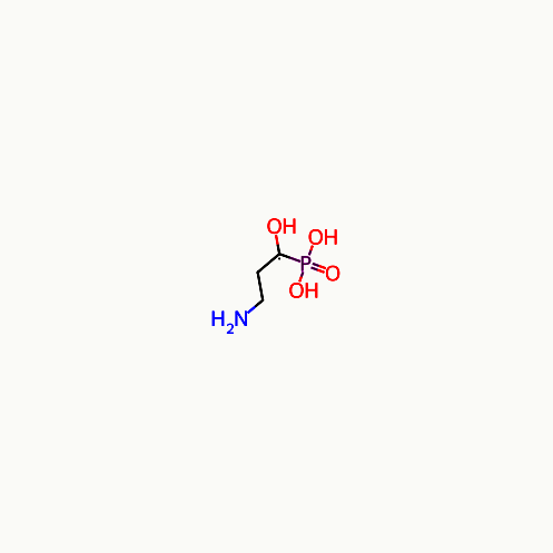 NCC[C](O)P(=O)(O)O